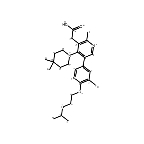 Cc1ncc(-c2cnc(OCCOC(C)C)c(F)c2)c(N2CCC(C)(C)CC2)c1CC(=O)O